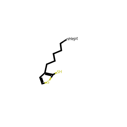 CCCCCCCCCCCCc1ccsc1S